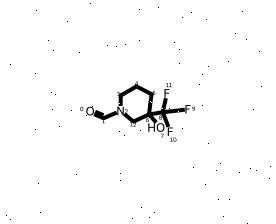 O=CN1CCCC(O)(C(F)(F)F)C1